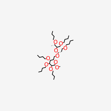 CCCCOCC[C@H](OCC1O[C@H](OC)C(OCCCC)C(OCCCC)[C@@H]1OCCCC)OC(COCCCC)[C@H](C)OCCCC